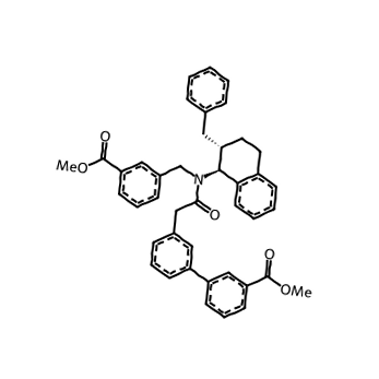 COC(=O)c1cccc(CN(C(=O)Cc2cccc(-c3cccc(C(=O)OC)c3)c2)[C@@H]2c3ccccc3CC[C@H]2Cc2ccccc2)c1